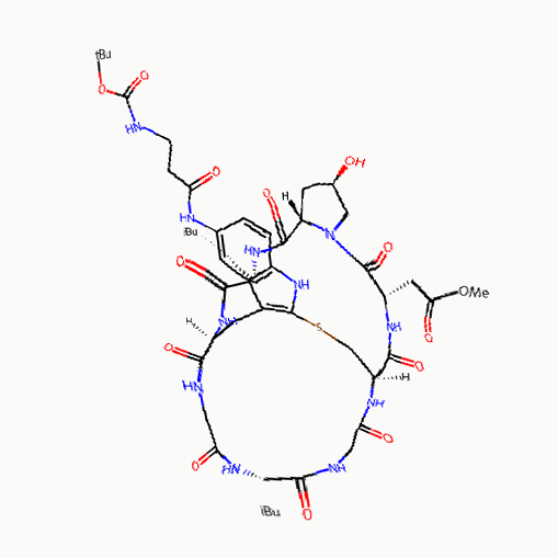 CC[C@H](C)[C@@H]1NC(=O)CNC(=O)[C@@H]2Cc3c([nH]c4ccc(NC(=O)CCNC(=O)OC(C)(C)C)cc34)SC[C@H](NC(=O)CNC1=O)C(=O)N[C@@H](CC(=O)OC)C(=O)N1C[C@H](O)C[C@H]1C(=O)N[C@@H]([C@@H](C)CC)C(=O)N2